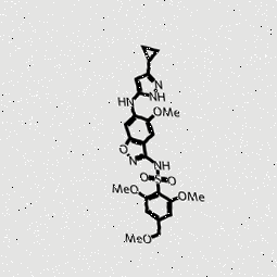 COCc1cc(OC)c(S(=O)(=O)Nc2noc3cc(Nc4cc(C5CC5)n[nH]4)c(OC)cc23)c(OC)c1